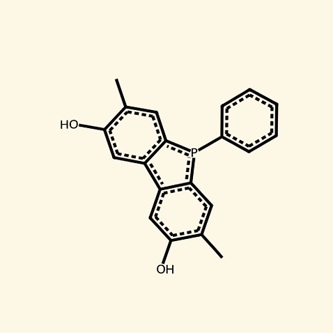 Cc1cc2c(cc1O)c1cc(O)c(C)cc1p2-c1ccccc1